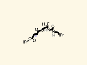 CC(C)CNC(=O)N[C@H](C)COC(=O)/C=C/C(=O)OC(C)C